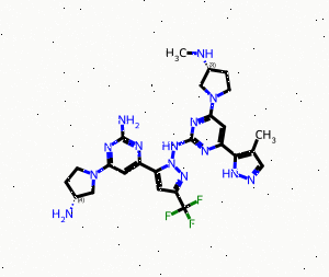 CN[C@@H]1CCN(c2cc(-c3[nH]ncc3C)nc(Nn3nc(C(F)(F)F)cc3-c3cc(N4CC[C@@H](N)C4)nc(N)n3)n2)C1